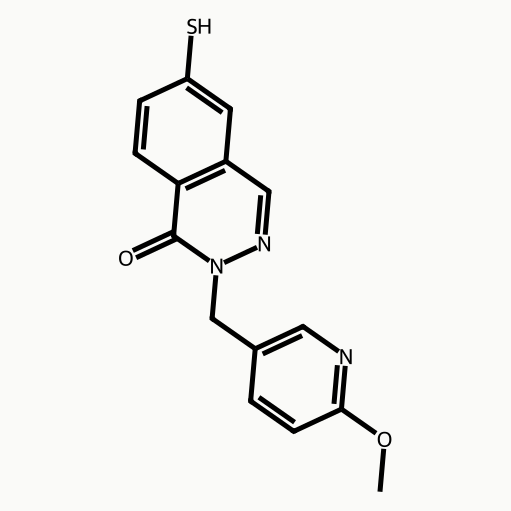 COc1ccc(Cn2ncc3cc(S)ccc3c2=O)cn1